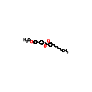 CCCCCCCC1CCC(C(=O)C[C@H]2CC[C@H](c3ccc(OCC)cc3)CC2)C(=O)C1